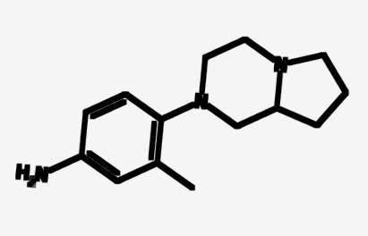 Cc1cc(N)ccc1N1CCN2CCCC2C1